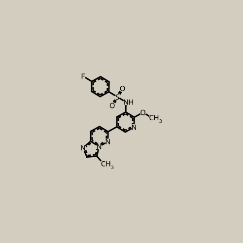 COc1ncc(-c2ccc3ncc(C)n3n2)cc1NS(=O)(=O)c1ccc(F)cc1